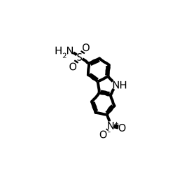 NS(=O)(=O)c1ccc2[nH]c3cc([N+](=O)[O-])ccc3c2c1